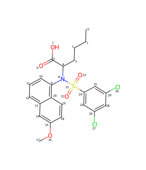 CCCCC(C(=O)O)N(c1cccc2cc(OC)ccc12)S(=O)(=O)c1cc(Cl)cc(Cl)c1